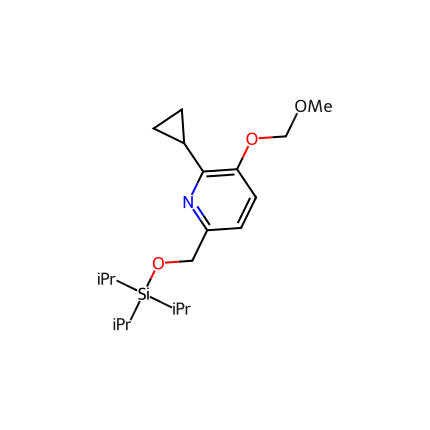 COCOc1ccc(CO[Si](C(C)C)(C(C)C)C(C)C)nc1C1CC1